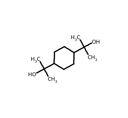 CC(C)(O)C1CCC(C(C)(C)O)CC1